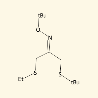 CCSC/C(CSC(C)(C)C)=N\OC(C)(C)C